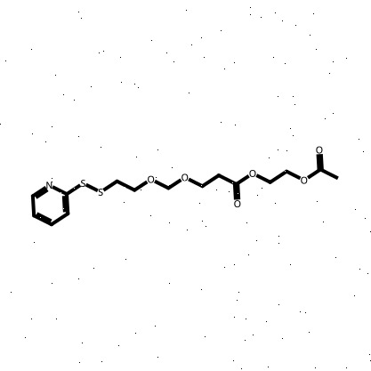 CC(=O)OCCOC(=O)CCOCOCCSSc1ccccn1